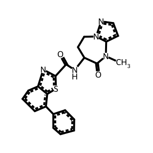 CN1C(=O)C(NC(=O)c2nc3cccc(-c4ccccc4)c3s2)CCn2nccc21